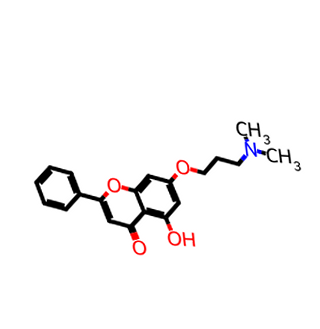 CN(C)CCCOc1cc(O)c2c(=O)cc(-c3ccccc3)oc2c1